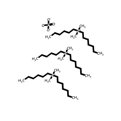 CCCCCCC[N+](C)(C)CCCCCC.CCCCCCC[N+](C)(C)CCCCCC.CCCCCCC[N+](C)(C)CCCCCC.O=P([O-])([O-])[O-]